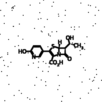 C[C@@H](O)[C@H]1C(=O)N2C(C(=O)O)=C(c3ccc(O)nc3)S[C@H]12